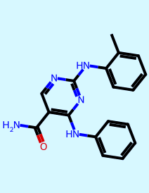 Cc1ccccc1Nc1ncc(C(N)=O)c(Nc2ccccc2)n1